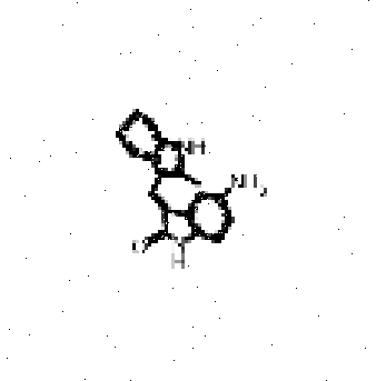 Cc1[nH]c2ccccc2c1/C=C1/C(=O)Nc2ccc(N)cc21